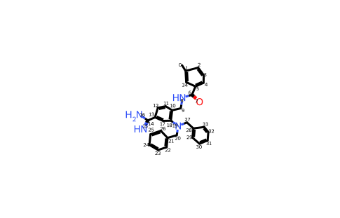 Cc1cccc(C(=O)NCc2ccc(C(=N)N)cc2N(Cc2ccccc2)Cc2ccccc2)c1